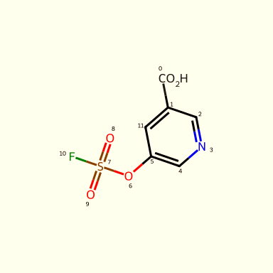 O=C(O)c1cncc(OS(=O)(=O)F)c1